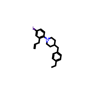 C=CCc1cc(I)ccc1N1CCC(Cc2ccc(CC)cc2)CC1